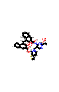 CCc1ncc(C[n+]2ccc3ccsc3c2C)c(N)n1.O.O=C([O-])c1cc2ccccc2c(Cc2c(O)c(C(=O)O)cc3ccccc23)c1O